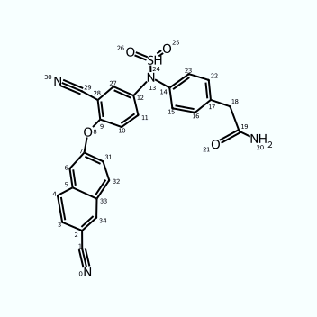 N#Cc1ccc2cc(Oc3ccc(N(c4ccc(CC(N)=O)cc4)[SH](=O)=O)cc3C#N)ccc2c1